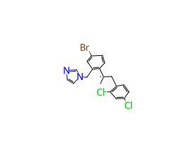 C[C](Cc1ccc(Cl)cc1Cl)c1ccc(Br)cc1Cn1ccnc1